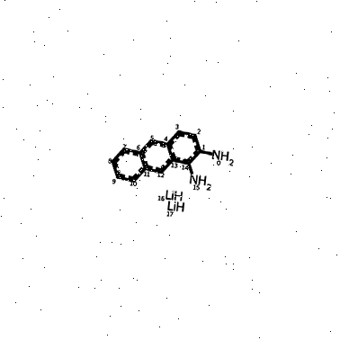 Nc1ccc2cc3ccccc3cc2c1N.[LiH].[LiH]